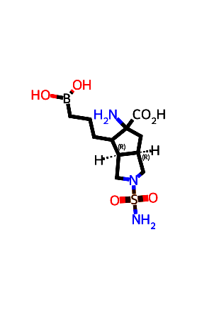 NC1(C(=O)O)C[C@H]2CN(S(N)(=O)=O)C[C@H]2C1CCCB(O)O